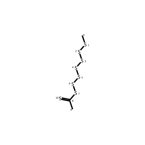 CSSSSSSSC(C)=S